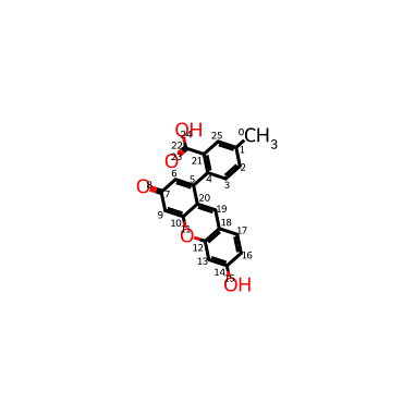 Cc1ccc(-c2cc(=O)cc3oc4cc(O)ccc4cc2-3)c(C(=O)O)c1